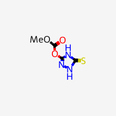 COC(=O)Oc1n[nH]c(=S)[nH]1